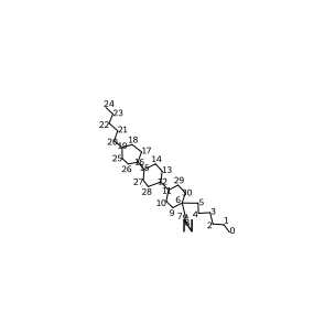 CCCCCCC1(C#N)CCC(C2CCC(C3CCC(CCCCC)CC3)CC2)CC1